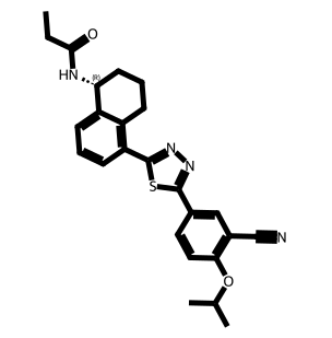 CCC(=O)N[C@@H]1CCCc2c(-c3nnc(-c4ccc(OC(C)C)c(C#N)c4)s3)cccc21